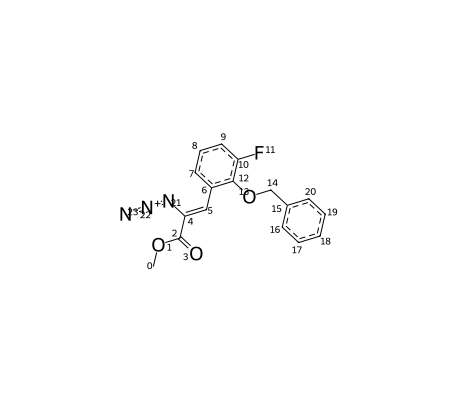 COC(=O)C(=Cc1cccc(F)c1OCc1ccccc1)N=[N+]=[N-]